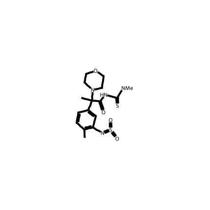 CNC(=S)NC(=O)C(C)(c1ccc(C)c(N=S(=O)=O)c1)N1CCOCC1